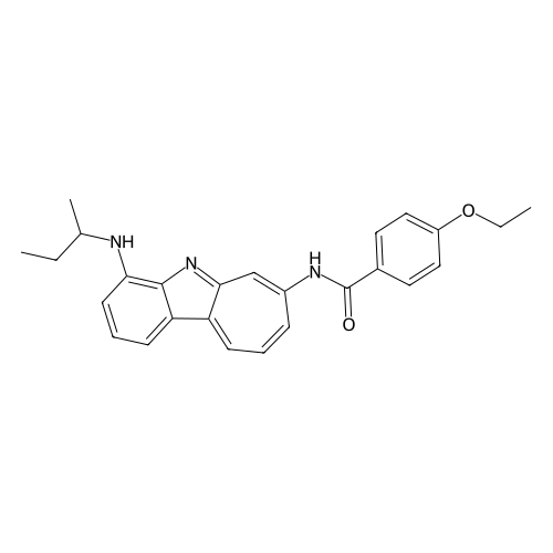 CCOc1ccc(C(=O)Nc2cccc3c4cccc(NC(C)CC)c4nc-3c2)cc1